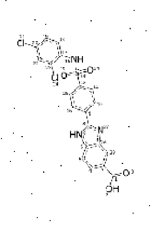 O=C(O)c1ccc2[nH]c(-c3ccc(S(=O)(=O)Nc4ccc(Cl)cc4Cl)cc3)nc2c1